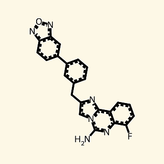 Nc1nc2c(F)cccc2c2nc(Cc3cccc(-c4ccc5nonc5c4)c3)cn12